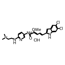 CO/C(=C\C=C\c1cc2cc(Cl)c(Cl)cc2[nH]1)C(=O)Nc1ccc(NCCN(C)C)nc1.Cl